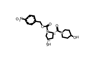 O=C([C@@H]1C[C@H](S)CN1C(=O)OCc1ccc([N+](=O)[O-])cc1)N1CCC(O)CC1